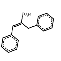 O=C(O)C(=Cc1ccccc1)Cc1ccccc1